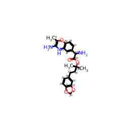 CC1=C(N)Nc2cc(C(N)C(=O)OC(C)(C)CCc3ccc4c(c3)OCO4)ccc2O1